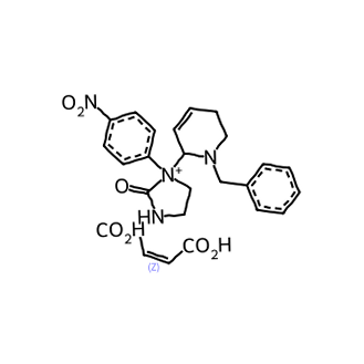 O=C(O)/C=C\C(=O)O.O=C1NCC[N+]1(c1ccc([N+](=O)[O-])cc1)C1C=CCCN1Cc1ccccc1